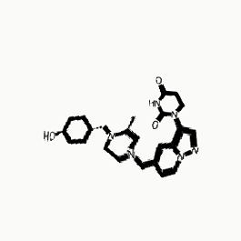 C[C@H]1CN(Cc2ccn3ncc(N4CCC(=O)NC4=O)c3c2)CCN1C[C@H]1CC[C@H](O)CC1